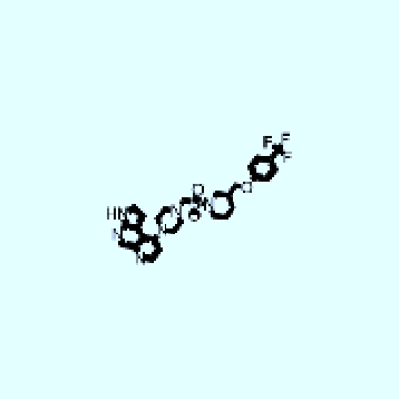 O=S(=O)(CN1CCN(c2ccnc3cnc4[nH]ccc4c23)CC1)N1CCCC(COc2ccc(C(F)(F)F)cc2)C1